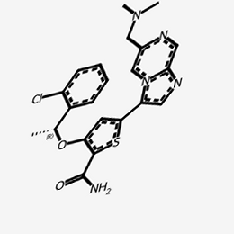 C[C@@H](Oc1cc(-c2cnc3cnc(CN(C)C)cn23)sc1C(N)=O)c1ccccc1Cl